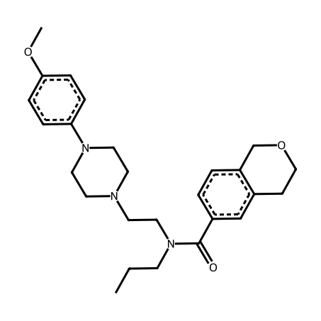 CCCN(CCN1CCN(c2ccc(OC)cc2)CC1)C(=O)c1ccc2c(c1)CCOC2